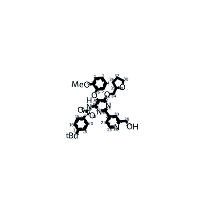 COc1ccccc1Oc1c(NS(=O)(=O)c2ccc(C(C)(C)C)cc2)nc(-c2ccnc(CO)c2)nc1OCC1CCCO1